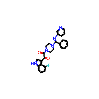 O=C(C(=O)N1CCN(/C(=N/c2cccnc2)c2ccccc2)CC1)c1c[nH]c2cccc(F)c12